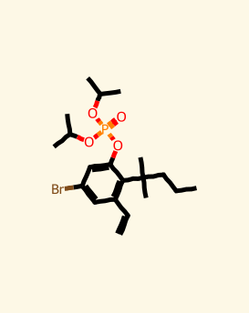 C=Cc1cc(Br)cc(OP(=O)(OC(C)C)OC(C)C)c1C(C)(C)CCC